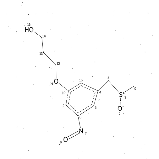 C[S+]([O-])Cc1cc(N=O)cc(OCCCO)c1